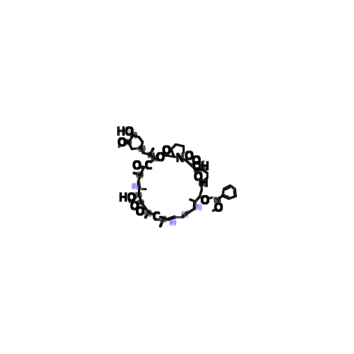 CO[C@H](COC1C[C@@H]2CC[C@@H](C)[C@@](O)(O2)C(=O)C(=O)N2CCCCC2C(=O)O[C@H]([C@H](C)C[C@@H]2CC[C@@H](O)[C@H](OC)C2)CC(=O)[C@H](C)/C=C(\C)[C@@H](O)[C@@H](OC)C(=O)[C@H](C)C[C@H](C)/C=C/C=C/C=C/1C)c1ccccc1